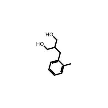 Cc1ccccc1CC(CO)CO